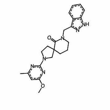 COc1cc(C)nc(N2CCC3(CCCN(Cc4n[nH]c5ccccc45)C3=O)C2)n1